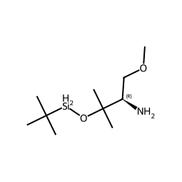 COC[C@@H](N)C(C)(C)O[SiH2]C(C)(C)C